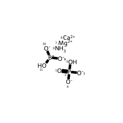 N.O=P([O-])([O-])O.[Ca+2].[Mg+2].[O-]B([O-])O